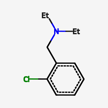 CCN(CC)Cc1ccccc1Cl